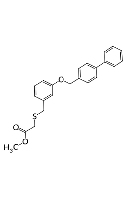 COC(=O)CSCc1cccc(OCc2ccc(-c3ccccc3)cc2)c1